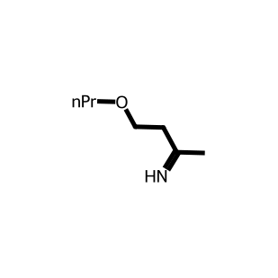 CCCOCCC(C)=N